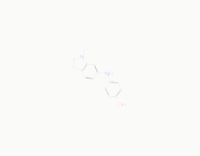 CN1CCc2ccc(Nc3ccc(O)cc3)cc21